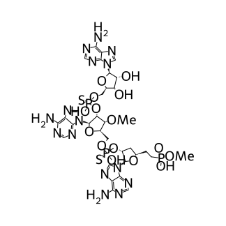 CO[C@H]1[C@@H](OP(O)(=S)OC[C@H]2O[C@@H](n3cnc4c(N)ncnc43)[C@H](O)[C@@H]2O)[C@H](n2cnc3c(N)ncnc32)O[C@@H]1COP(O)(=S)O[C@@H]1C[C@@H](CCP(=O)(O)OC)O[C@H]1n1cnc2c(N)ncnc21